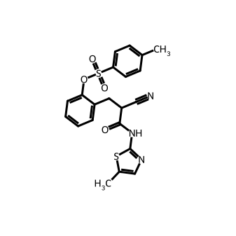 Cc1ccc(S(=O)(=O)Oc2ccccc2CC(C#N)C(=O)Nc2ncc(C)s2)cc1